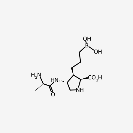 C[C@H](N)C(=O)N[C@H]1CN[C@H](C(=O)O)[C@@H]1CCCB(O)O